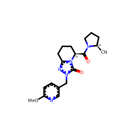 COc1ccc(Cn2nc3n(c2=O)[C@H](C(=O)N2CCC[C@H]2C#N)CCC3)cn1